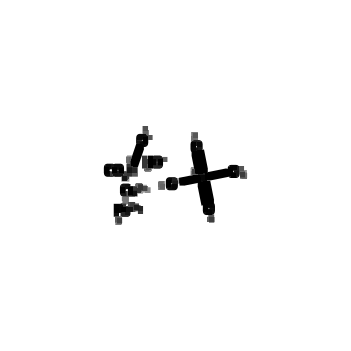 O=C([O-])O.O=S(=O)([O-])[O-].[Cu+2].[OH-].[Pb+2]